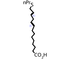 CCCSC/C=C/C/C=C/CCCCCCCC(=O)O